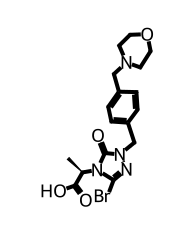 C[C@H](C(=O)O)n1c(Br)nn(Cc2ccc(CN3CCOCC3)cc2)c1=O